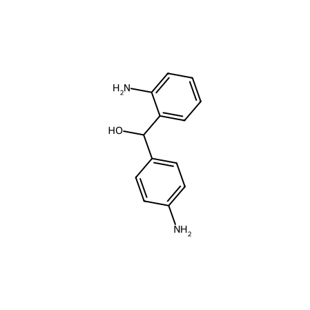 Nc1ccc(C(O)c2ccccc2N)cc1